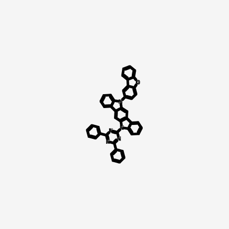 c1ccc(-c2nc(-c3ccccc3)nc(-n3c4ccccc4c4cc5c(cc43)c3ccccc3n5-c3ccc4oc5ccccc5c4c3)n2)cc1